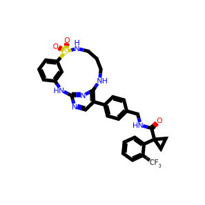 O=C(NCc1ccc(-c2cnc3nc2NCCCNS(=O)(=O)c2cccc(c2)N3)cc1)C1(c2ccccc2C(F)(F)F)CC1